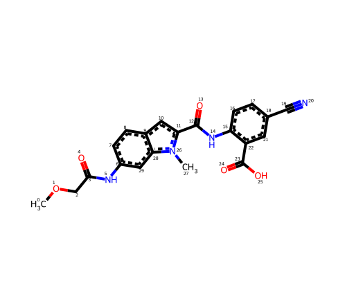 COCC(=O)Nc1ccc2cc(C(=O)Nc3ccc(C#N)cc3C(=O)O)n(C)c2c1